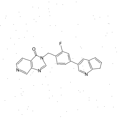 O=c1c2ccncc2ncn1Cc1ccc(-c2cnc3c(c2)C=CC3)cc1F